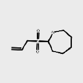 C=CCS(=O)(=O)C1CCCCC[N]1